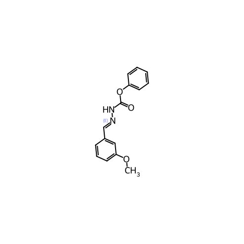 COc1cccc(/C=N/NC(=O)Oc2ccccc2)c1